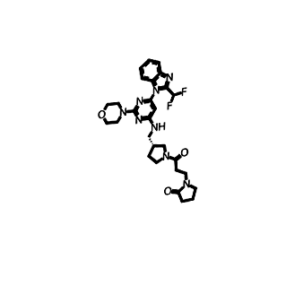 O=C1CCCN1CCC(=O)N1CC[C@H](CNc2cc(-n3c(C(F)F)nc4ccccc43)nc(N3CCOCC3)n2)C1